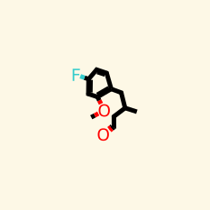 COc1cc(F)ccc1CC(C)CC=O